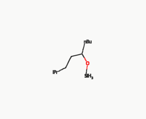 CCCCC(CCC(C)C)O[SiH3]